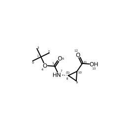 CC(C)(C)OC(=O)N[C@H]1CC1C(=O)O